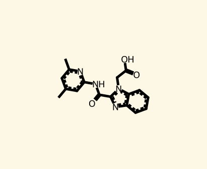 Cc1cc(C)nc(NC(=O)c2nc3ccccc3n2CC(=O)O)c1